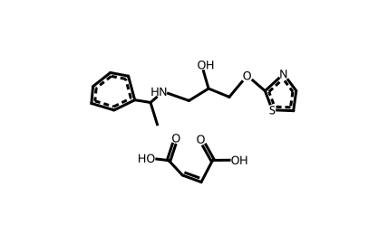 CC(NCC(O)COc1nccs1)c1ccccc1.O=C(O)/C=C\C(=O)O